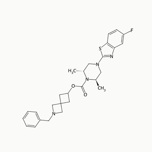 C[C@@H]1CN(c2nc3cc(F)ccc3s2)C[C@@H](C)N1C(=O)OC1CC2(C1)CN(Cc1ccccc1)C2